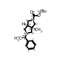 C[C@H](c1ccccc1)N1C[C@H]2CN(C(=O)OC(C)(C)C)C[C@@]2(C)C1